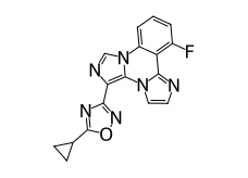 Fc1cccc2c1c1nccn1c1c(-c3noc(C4CC4)n3)ncn21